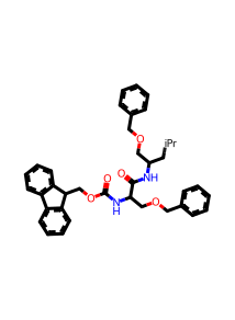 CC(C)CC(COCc1ccccc1)NC(=O)C(COCc1ccccc1)NC(=O)OCC1c2ccccc2-c2ccccc21